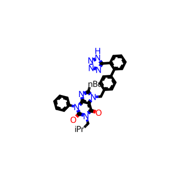 CCCCc1nc2c(c(=O)n(CC(C)C)c(=O)n2-c2ccccc2)n1Cc1ccc(-c2ccccc2-c2nnn[nH]2)cc1